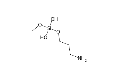 CO[Si](O)(O)OCCCN